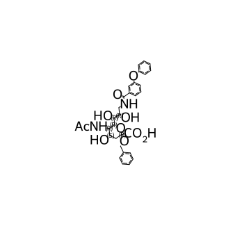 CC(=O)N[C@H]1[C@H]([C@H](O)[C@H](O)CNC(=O)c2cccc(Oc3ccccc3)c2)O[C@@](OCc2ccccc2)(C(=O)O)C[C@@H]1O